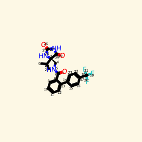 CC(C)[C@]1(CNC(=O)c2ccccc2-c2ccc(C(F)(F)F)cc2)NC(=O)NC1=O